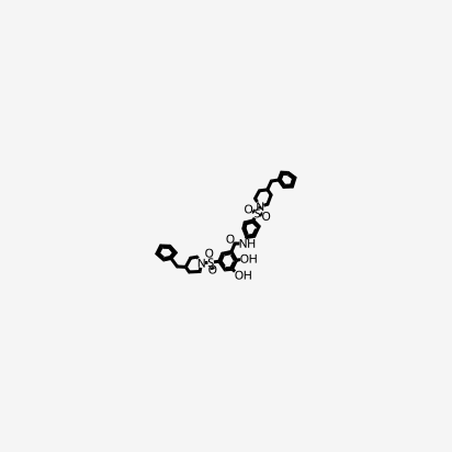 O=C(Nc1ccc(S(=O)(=O)N2CCC(Cc3ccccc3)CC2)cc1)c1cc(S(=O)(=O)N2CCC(Cc3ccccc3)CC2)cc(O)c1O